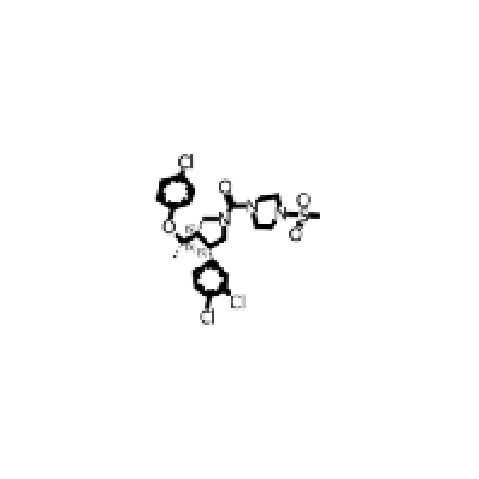 C[C@H](Oc1ccc(Cl)cc1)[C@@H]1CN(C(=O)N2CCN(S(C)(=O)=O)CC2)C[C@@H]1c1ccc(Cl)c(Cl)c1